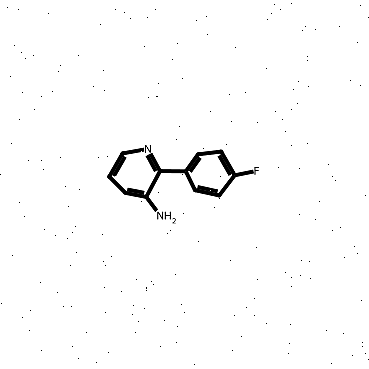 Nc1cccnc1-c1ccc(F)cc1